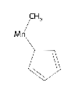 [CH3][Mn][CH]1C=CC=C1